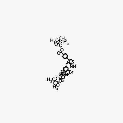 CC(C)(C)C(=O)OCOC(=O)c1ccc(-c2csc(=N)n2Cc2ccc(C(F)(F)P(=O)(O)OCOC(=O)C(C)(C)C)c(Br)c2)cc1